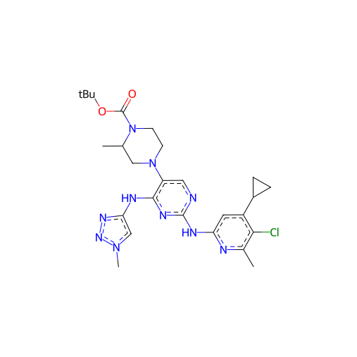 Cc1nc(Nc2ncc(N3CCN(C(=O)OC(C)(C)C)C(C)C3)c(Nc3cn(C)nn3)n2)cc(C2CC2)c1Cl